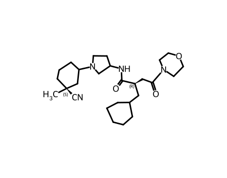 C[C@]1(C#N)CCCC(N2CCC(NC(=O)[C@@H](CC(=O)N3CCOCC3)CC3CCCCC3)C2)C1